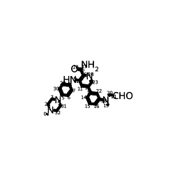 CN1CCN(c2ccc(Nc3cc(-c4cccc(N(C)CC=O)c4)cnc3C(N)=O)cc2)CC1